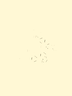 CCOCc1cc(OC)c(-c2ccc(C[C@H](NC(=O)c3c(F)cc(N[C@H](CC)C(F)(F)F)cc3F)C(=O)O)n3ccnc23)c(OC)c1